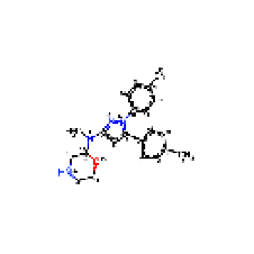 Cc1ccc(-c2cc(N(C)[C@@H]3CNCCO3)nn2-c2ccc(C#N)cc2)cc1